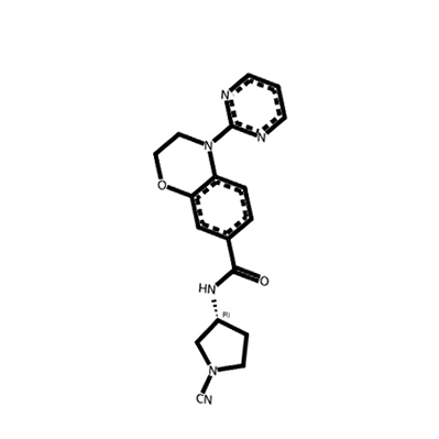 N#CN1CC[C@@H](NC(=O)c2ccc3c(c2)OCCN3c2ncccn2)C1